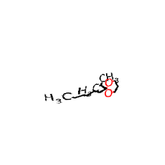 CCCCCCC1(C(C)C)OCCCO1